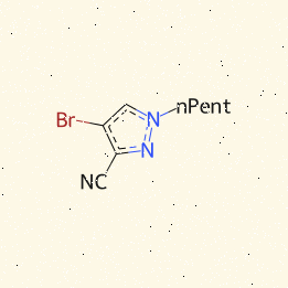 CCCCCn1cc(Br)c(C#N)n1